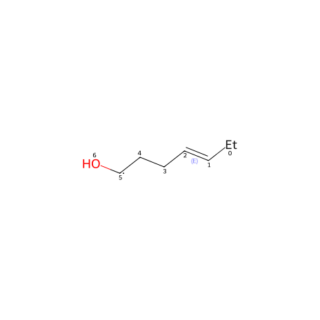 CC/C=C/CC[CH]O